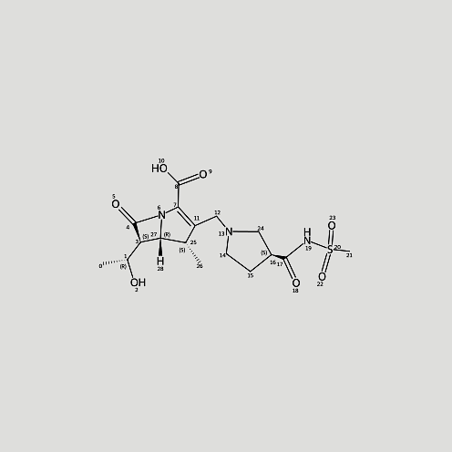 C[C@@H](O)[C@H]1C(=O)N2C(C(=O)O)=C(CN3CC[C@H](C(=O)NS(C)(=O)=O)C3)[C@H](C)[C@H]12